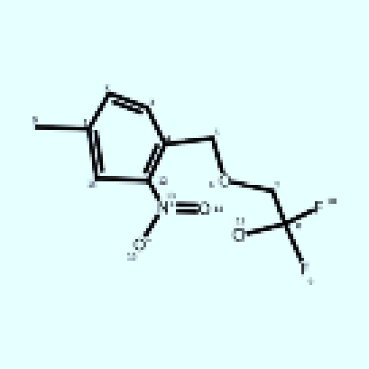 Cc1ccc(COCC(F)(F)Cl)c([N+](=O)[O-])c1